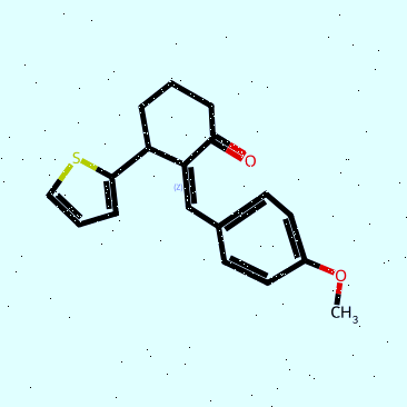 COc1ccc(/C=C2\C(=O)CCCC2c2cccs2)cc1